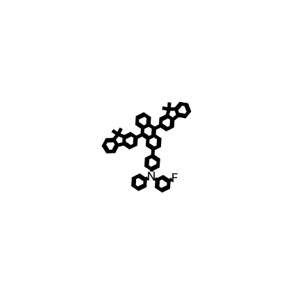 CC1(C)c2ccccc2-c2ccc(-c3c4ccccc4c(-c4ccc5c(c4)C(C)(C)c4ccccc4-5)c4cc(-c5ccc(N(c6ccccc6)c6cccc(F)c6)cc5)ccc34)cc21